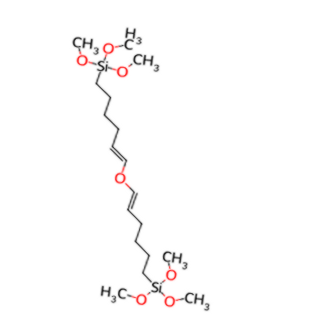 CO[Si](CCCCC=COC=CCCCC[Si](OC)(OC)OC)(OC)OC